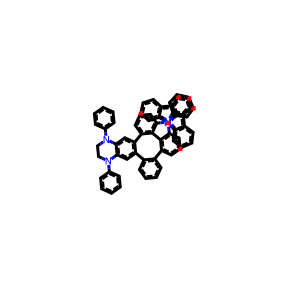 c1ccc(N2CCN(c3ccccc3)c3cc4c(cc32)-c2ccccc2-c2cccc(-n3c5ccccc5c5ccccc53)c2-c2c-4cccc2-n2c3ccccc3c3ccccc32)cc1